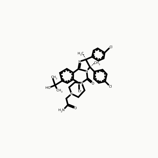 CCOc1cc(C(C)(C)O)ccc1C1=N[C@@](C)(c2ccc(Cl)cc2)[C@@](C)(c2ccc(Cl)cc2)N1C(=O)N1CCN(CC(N)=O)CC1